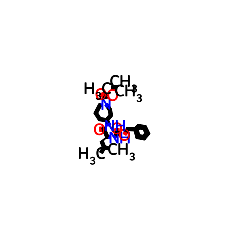 CC(C)C[C@H](NC(=O)OCc1ccccc1)C(=O)NC1CCCN(C(=O)OC(C)(C)C)CC1